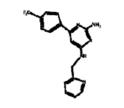 Nc1nc(NCc2ccccn2)cc(-c2ccc(C(F)(F)F)cc2)n1